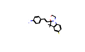 CN(C)c1ccc(C=CC23OCCN2c2ccc(S)cc2C3(C)C)cc1